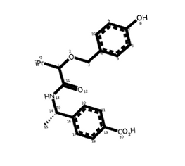 CC(C)C(OCc1ccc(O)cc1)C(=O)N[C@@H](C)c1ccc(C(=O)O)cc1